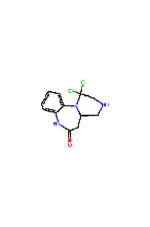 O=C1CC2CNCC(Cl)(Cl)N2c2ccccc2N1